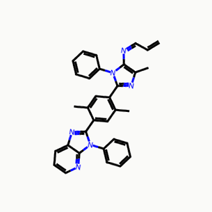 C=C/C=N\c1c(C)nc(-c2cc(C)c(-c3nc4cccnc4n3-c3ccccc3)cc2C)n1-c1ccccc1